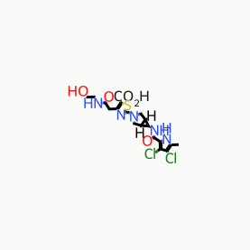 Cc1[nH]c(C(=O)N[C@H]2[C@@H]3CN(c4nc(CC(=O)NCCO)c(C(=O)O)s4)C[C@@H]32)c(Cl)c1Cl